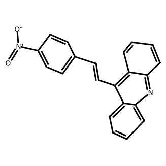 O=[N+]([O-])c1ccc(/C=C/c2c3ccccc3nc3ccccc23)cc1